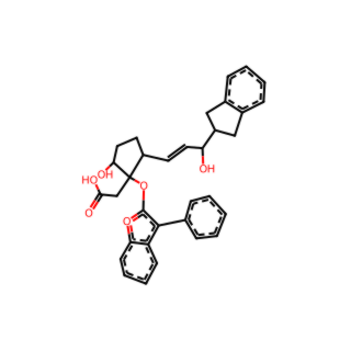 O=C(O)CC1(Oc2oc3ccccc3c2-c2ccccc2)C(O)CCC1C=CC(O)C1Cc2ccccc2C1